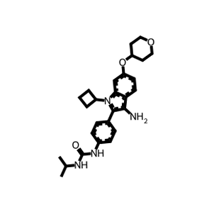 CC(C)NC(=O)Nc1ccc(-c2c(N)c3ccc(OC4CCOCC4)cc3n2C2CCC2)cc1